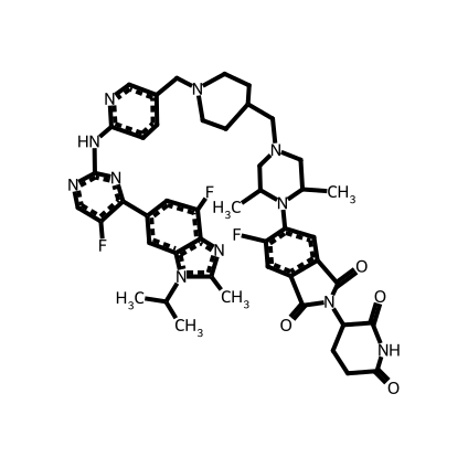 Cc1nc2c(F)cc(-c3nc(Nc4ccc(CN5CCC(CN6CC(C)N(c7cc8c(cc7F)C(=O)N(C7CCC(=O)NC7=O)C8=O)C(C)C6)CC5)cn4)ncc3F)cc2n1C(C)C